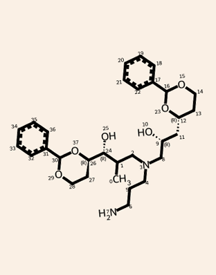 CC(CN(CCCN)C[C@H](O)C[C@H]1CCOC(c2ccccc2)O1)[C@@H](O)[C@H]1CCOC(c2ccccc2)O1